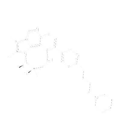 CC[C@]1(C)CNc2c(-c3ccc(OCCCN4CCCCC4)nc3)ccc3ncc4c(c23)n(c(=O)n4C)[C@@H]1C